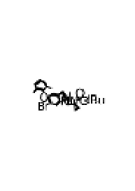 Cc1cccc(C)c1Oc1cc2cnn(CC3(NC(=O)OC(C)(C)C)CC3)c2cc1Br